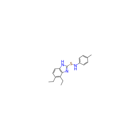 CCc1ccc2[nH]c(SNc3ccc(C)cc3)nc2c1CC